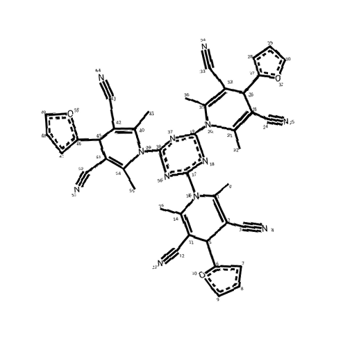 CC1=C(C#N)C(c2ccco2)C(C#N)=C(C)N1c1nc(N2C(C)=C(C#N)C(c3ccco3)C(C#N)=C2C)nc(N2C(C)=C(C#N)C(c3ccco3)C(C#N)=C2C)n1